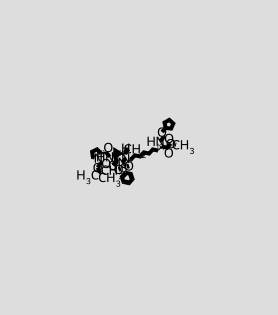 C=C[C@@H]1C[C@]1(NC(=O)[C@@H]1CCCN1C(=O)OC(C)(C)C)C(=O)N(NCCCCCCC[C@H](NC(=O)OC1CCCC1)C(=O)OC)S(=O)(=O)c1ccccc1